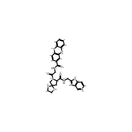 O=C(NCC(=O)N1CC2(CC1C(=O)NCc1nc3cnccc3o1)OCCO2)c1ccc2c(c1)Oc1ccccc1S2